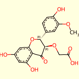 COc1cc([C@H]2Oc3cc(O)cc(O)c3C(=O)[C@@H]2OCC(=O)O)ccc1O